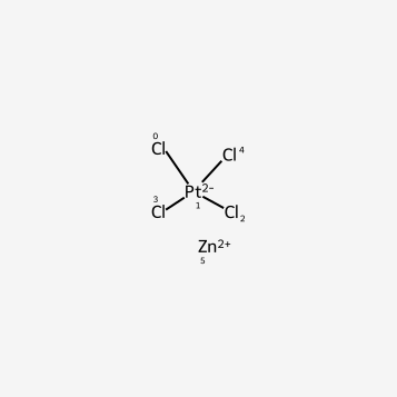 [Cl][Pt-2]([Cl])([Cl])[Cl].[Zn+2]